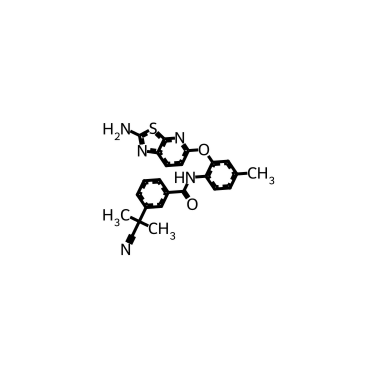 Cc1ccc(NC(=O)c2cccc(C(C)(C)C#N)c2)c(Oc2ccc3nc(N)sc3n2)c1